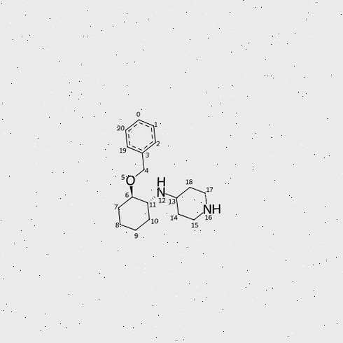 c1ccc(CO[C@@H]2CCCC[C@H]2NC2CCNCC2)cc1